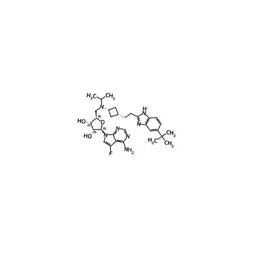 CC(C)N(C[C@H]1O[C@@H](n2cc(F)c3c(N)ncnc32)[C@H](O)[C@@H]1O)[C@H]1C[C@@H](CCc2nc3cc(C(C)(C)C)ccc3[nH]2)C1